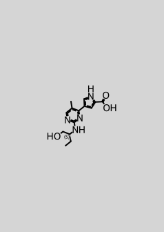 CC[C@@H](CO)Nc1ncc(C)c(-c2c[nH]c(C(=O)O)c2)n1